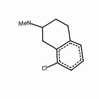 CNC1CCc2cccc(Cl)c2C1